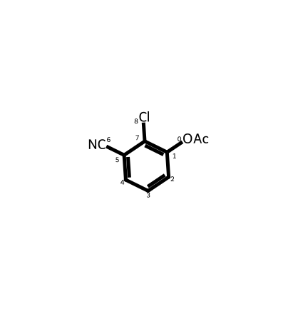 CC(=O)Oc1cccc(C#N)c1Cl